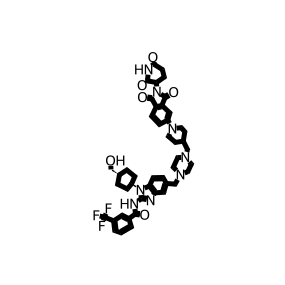 O=C1CCC(N2C(=O)c3ccc(N4CCC(CN5CCN(Cc6ccc7c(c6)nc(NC(=O)c6cccc(C(F)(F)F)c6)n7[C@H]6CC[C@@H](CO)CC6)CC5)CC4)cc3C2=O)C(=O)N1